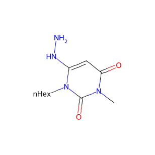 CCCCCCn1c(NN)cc(=O)n(C)c1=O